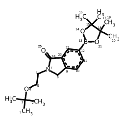 CC(C)(C)OCCN1Cc2ccc(B3OC(C)(C)C(C)(C)O3)cc2C1=O